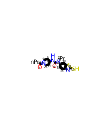 CCCC(=O)N1CCC(NC(=O)N(c2ccc3nc(S)sc3c2)C(C)C)CC1